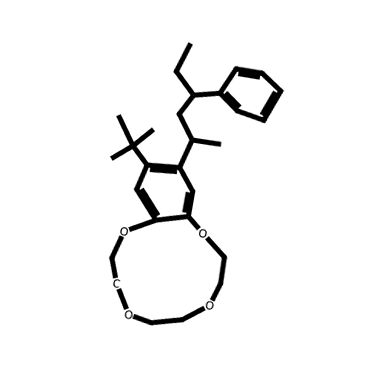 CCC(CC(C)c1cc2c(cc1C(C)(C)C)OCCOCCOCCO2)c1ccccc1